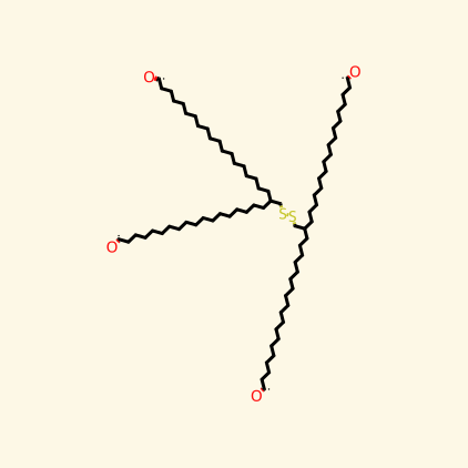 O=[C]CCCCCCCCCCCCCCCCCCC(CCCCCCCCCCCCCCCCC[C]=O)CSSCC(CCCCCCCCCCCCCCCCC[C]=O)CCCCCCCCCCCCCCCCCC[C]=O